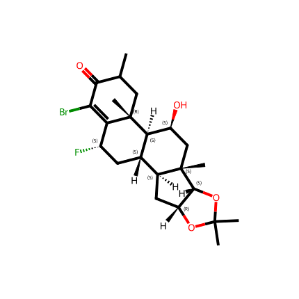 CC1C[C@@]2(C)C(=C(Br)C1=O)[C@@H](F)C[C@@H]1[C@@H]2[C@@H](O)C[C@]2(C)[C@@H]3OC(C)(C)O[C@@H]3C[C@@H]12